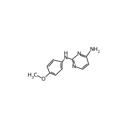 COc1ccc(Nc2nccc(N)n2)cc1